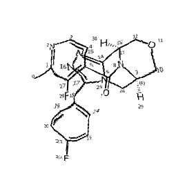 Cc1nccc(C(=O)N2[C@H]3COC[C@@H]2c2nnc(-c4ccc(F)cc4)n2C3)c1F